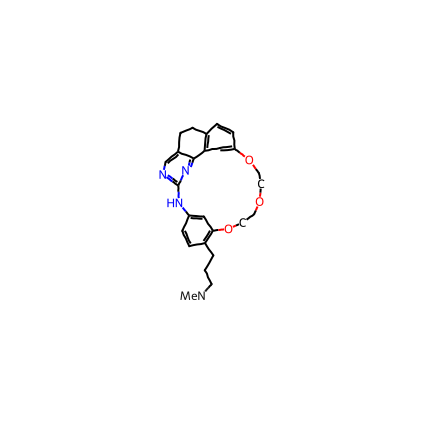 CNCCCc1ccc2cc1OCCOCCOc1ccc3c(c1)-c1nc(ncc1CC3)N2